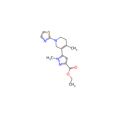 CCOC(=O)c1cc(C2=C(C)CCN(c3nccs3)C2)n(C)n1